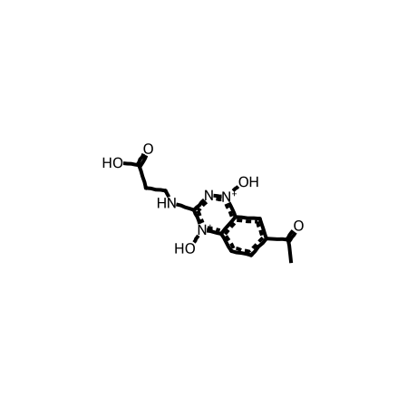 CC(=O)c1ccc2c(c1)[n+](O)nc(NCCC(=O)O)[n+]2O